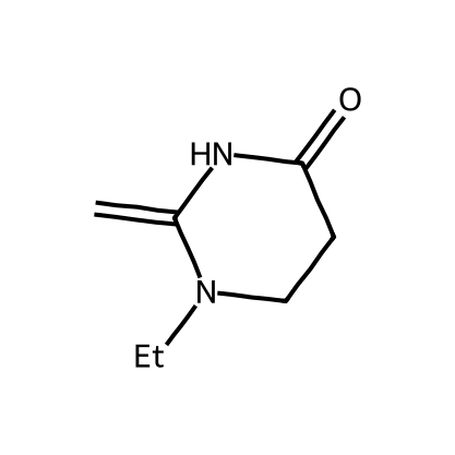 C=C1NC(=O)CCN1CC